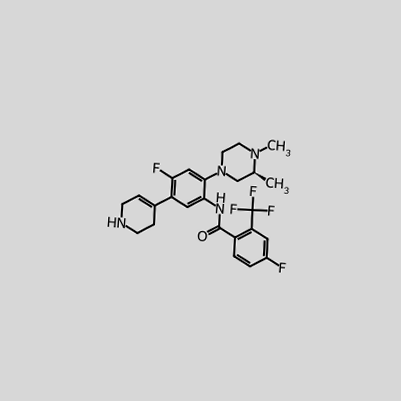 C[C@H]1CN(c2cc(F)c(C3=CCNCC3)cc2NC(=O)c2ccc(F)cc2C(F)(F)F)CCN1C